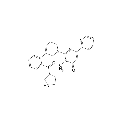 Cn1c(N2CCC=C(c3ccccc3C(=O)C3CCNC3)C2)nc(-c2ccncn2)cc1=O